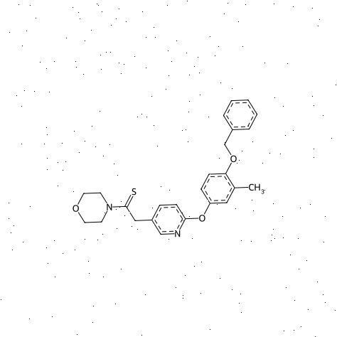 Cc1cc(Oc2ccc(CC(=S)N3CCOCC3)cn2)ccc1OCc1ccccc1